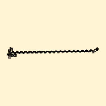 CCO[Si](CCCCCCCCCCCCCCCCCCCCCCCCCCCCCCCCCCCCCN=C=O)(OCC)OCC